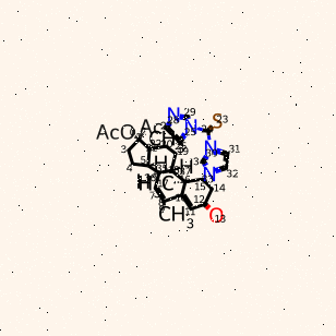 CC(=O)O[C@]1(C(C)=O)CC[C@H]2[C@@H]3C=C(C)C4=CC(=O)CC[C@]4(C)[C@H]3CC[C@@]21C.S=C(n1ccnc1)n1ccnc1